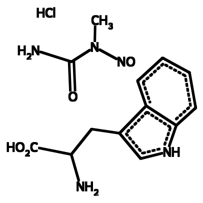 CN(N=O)C(N)=O.Cl.NC(Cc1c[nH]c2ccccc12)C(=O)O